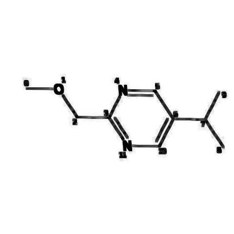 COCc1ncc(C(C)C)cn1